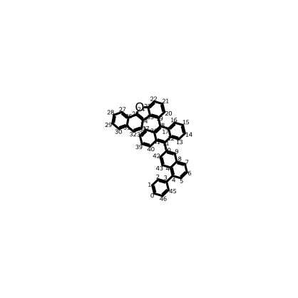 c1ccc(-c2cccc3cc(-c4c5ccccc5c(-c5cccc6oc7c8ccccc8ccc7c56)c5ccccc45)ccc23)cc1